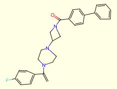 C=C(c1ccc(F)cc1)N1CCN(C2CN(C(=O)c3ccc(-c4ccccc4)cc3)C2)CC1